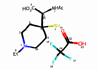 CCN1CCC(S)([C@H](NC(C)=O)C(=O)O)CC1.O=C(O)C(F)(F)F